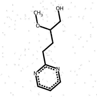 COC(CO)CCc1ncccn1